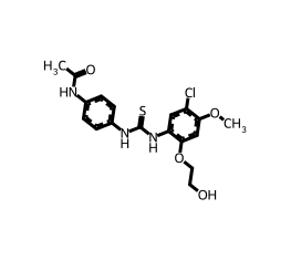 COc1cc(OCCO)c(NC(=S)Nc2ccc(NC(C)=O)cc2)cc1Cl